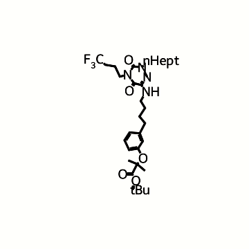 CCCCCCCn1nc(NCCCCc2cccc(OC(C)(C)C(=O)OC(C)(C)C)c2)c(=O)n(CCCC(F)(F)F)c1=O